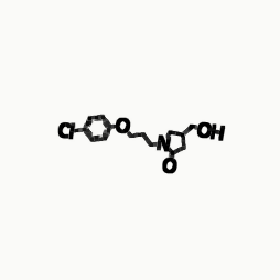 O=C1C[C@H](CO)CN1CCCOc1ccc(Cl)cc1